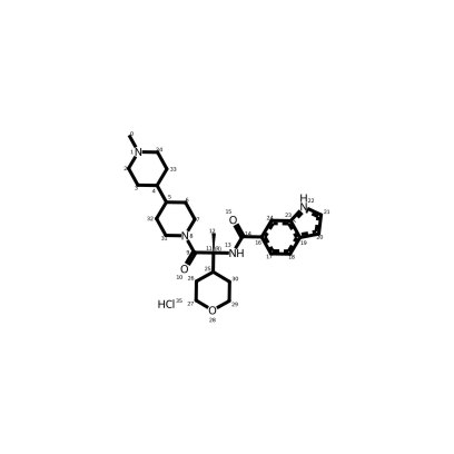 CN1CCC(C2CCN(C(=O)[C@](C)(NC(=O)c3ccc4cc[nH]c4c3)C3CCOCC3)CC2)CC1.Cl